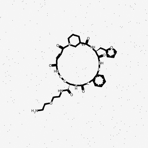 CC[C@@]12CCCN(C1)C(=O)/C=C/C(=O)NCC[C@@H](C(=O)NCCOCCN)NC(=O)Cc1ccccc1CNC(=O)[C@H](Cc1ccco1)NC2=O